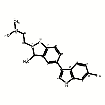 CC1c2cc(-c3c[nH]c4cc(F)ccc34)ccc2SN1CC[S+](C)[O-]